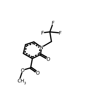 COC(=O)c1cccn(CC(F)(F)F)c1=O